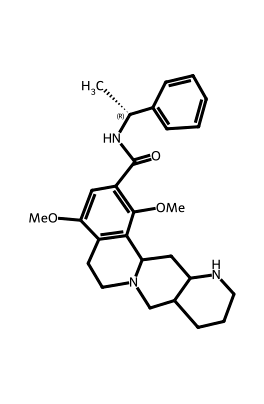 COc1cc(C(=O)N[C@H](C)c2ccccc2)c(OC)c2c1CCN1CC3CCCNC3CC21